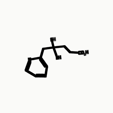 O=C(O)CCC(S)(S)Cc1ccccn1